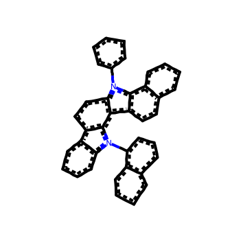 c1ccc(-n2c3ccc4c5ccccc5n(-c5cccc6ccccc56)c4c3c3ccc4ccccc4c32)cc1